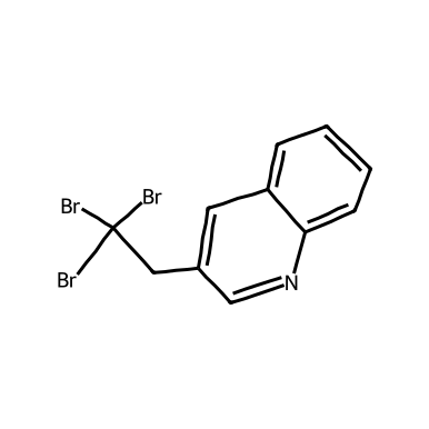 BrC(Br)(Br)Cc1cnc2ccccc2c1